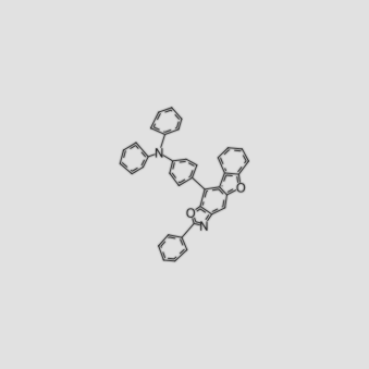 c1ccc(-c2nc3cc4oc5ccccc5c4c(-c4ccc(N(c5ccccc5)c5ccccc5)cc4)c3o2)cc1